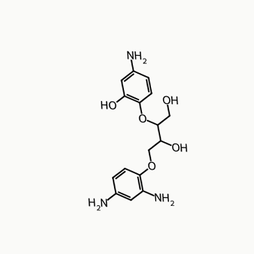 Nc1ccc(OCC(O)C(CO)Oc2ccc(N)cc2O)c(N)c1